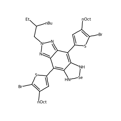 CCCCCCCCc1cc(-c2c3c(c(-c4cc(CCCCCCCC)c(Br)s4)c4nn(CC(CC)CCCC)nc24)N[Se]N3)sc1Br